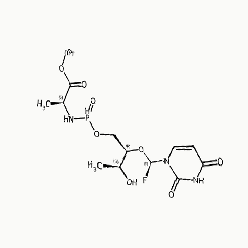 CCCOC(=O)[C@H](C)N[PH](=O)OC[C@@H](O[C@H](F)n1ccc(=O)[nH]c1=O)[C@H](C)O